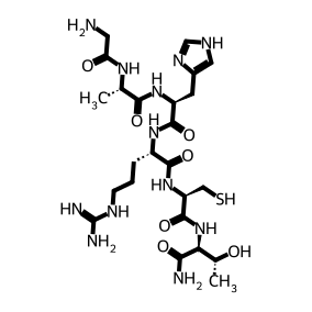 C[C@H](NC(=O)CN)C(=O)N[C@@H](Cc1c[nH]cn1)C(=O)N[C@@H](CCCNC(=N)N)C(=O)N[C@@H](CS)C(=O)N[C@H](C(N)=O)[C@@H](C)O